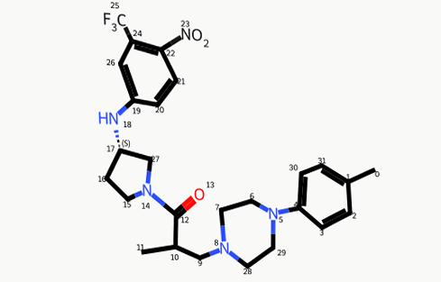 Cc1ccc(N2CCN(CC(C)C(=O)N3CC[C@H](Nc4ccc([N+](=O)[O-])c(C(F)(F)F)c4)C3)CC2)cc1